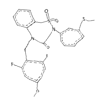 COc1cc(F)c(CN2C(=O)N(c3cccc(SC)c3)S(=O)(=O)c3ccccc32)c(F)c1